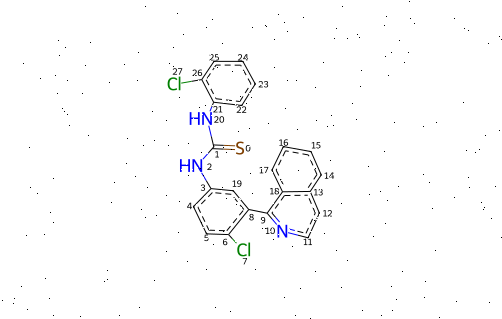 S=C(Nc1ccc(Cl)c(-c2nccc3ccccc23)c1)Nc1ccccc1Cl